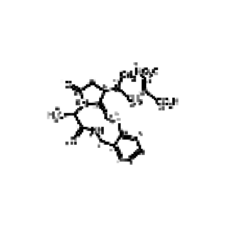 C[C@H](C(=O)NCc1ccccc1F)N1C(=O)CC(N(C)C)C1=O.O=C(O)/C=C/C(=O)O